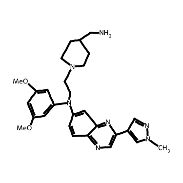 COc1cc(OC)cc(N(CCN2CCC(CN)CC2)c2ccc3ncc(-c4cnn(C)c4)nc3c2)c1